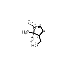 C[C@@]1(P)C(CO)CC=[N+]1[O-]